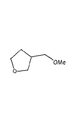 [CH2]OCC1CCOC1